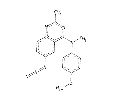 COc1ccc(N(C)c2nc(C)nc3ccc(N=[N+]=[N-])cc23)cc1